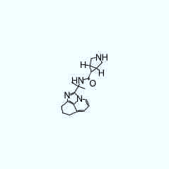 CC(C)(NC(=O)[C@H]1[C@@H]2CNC[C@@H]21)c1nc2c3c(cccn13)CCC2